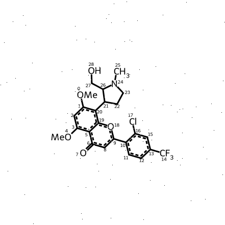 COc1cc(OC)c2c(=O)cc(-c3ccc(C(F)(F)F)cc3Cl)oc2c1C1CCN(C)C1CO